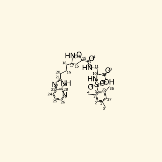 Cc1cc(C)c(S(=O)(=O)NC(CNC(=O)C2CC(CCCc3nc4cccnc4[nH]3)NO2)C(=O)O)c(C)c1